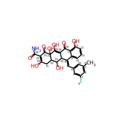 Cc1cc(F)cc(/C=C2\c3cccc(O)c3C(=O)C3=C(O)C4(O)C(=O)C(C(N)=O)=C(O)CC4C(O)C32)c1